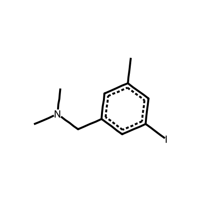 Cc1cc(I)cc(CN(C)C)c1